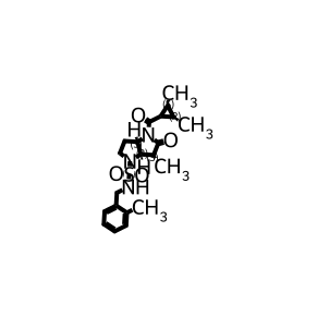 Cc1ccccc1CNS(=O)(=O)N1CC[C@H]2[C@H]1[C@H](C)C(=O)N2C(=O)C1[C@@H](C)[C@H]1C